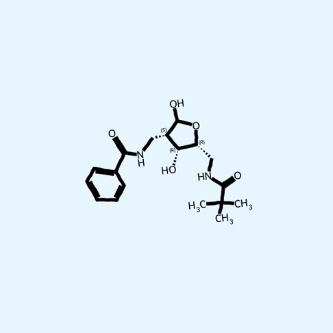 CC(C)(C)C(=O)NC[C@H]1OC(O)[C@@H](CNC(=O)c2ccccc2)[C@H]1O